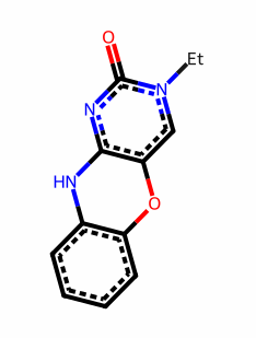 CCn1cc2c(nc1=O)Nc1ccccc1O2